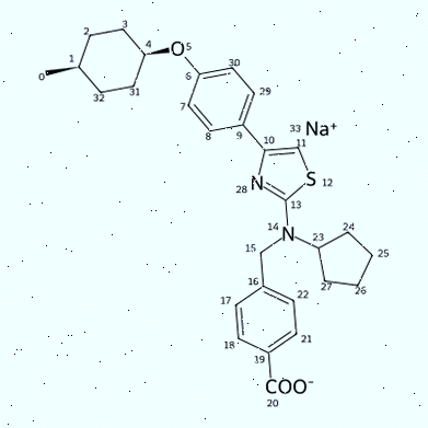 C[C@H]1CC[C@@H](Oc2ccc(-c3csc(N(Cc4ccc(C(=O)[O-])cc4)C4CCCC4)n3)cc2)CC1.[Na+]